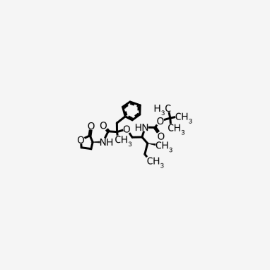 CC[C@H](C)C(COC(C)(Cc1ccccc1)C(=O)N[C@H]1CCOC1=O)NC(=O)OC(C)(C)C